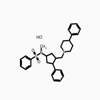 CN(C1CC(CN2CCC(c3ccccc3)CC2)C(c2ccccc2)C1)S(=O)(=O)c1ccccc1.Cl